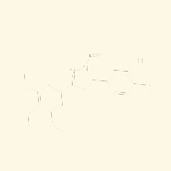 COc1ccc(C2CC(c3cc(OC)c(OC)c(OC)c3)=NN2C(C)=O)cc1O